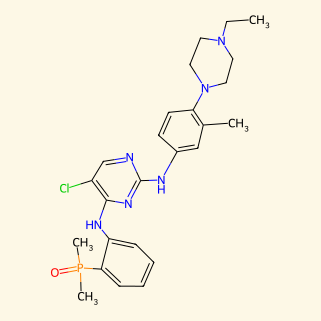 CCN1CCN(c2ccc(Nc3ncc(Cl)c(Nc4ccccc4P(C)(C)=O)n3)cc2C)CC1